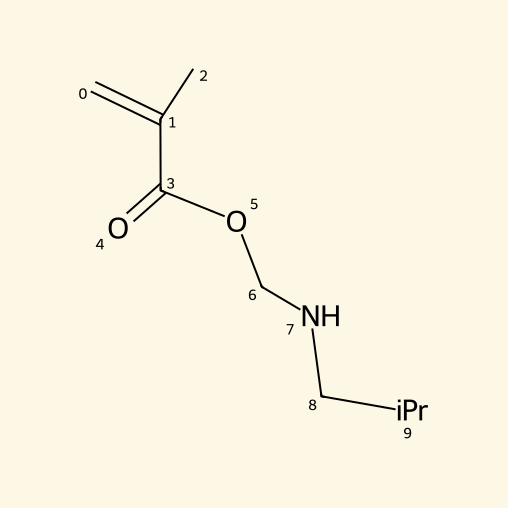 C=C(C)C(=O)OCNCC(C)C